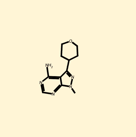 Cn1nc(C2CCOCC2)c2c(N)ncnc21